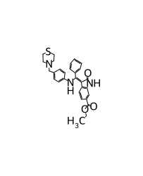 CCOC(=O)c1ccc2c(c1)NC(=O)C2=C(Nc1ccc(CN2CCSCC2)cc1)c1ccccc1